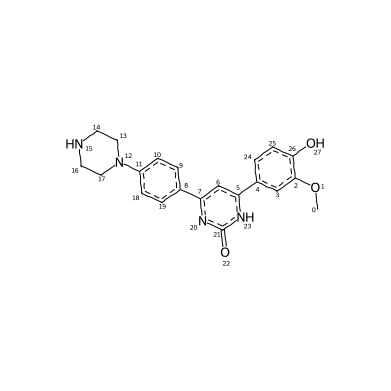 COc1cc(-c2cc(-c3ccc(N4CCNCC4)cc3)nc(=O)[nH]2)ccc1O